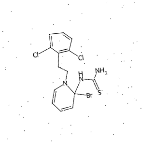 NC(=S)NC1(Br)C=CC=CN1CCc1c(Cl)cccc1Cl